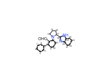 O=Cc1c(-c2ccccc2)cccc1N1CCCC1c1nc2ccccc2[nH]1